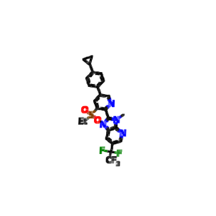 CCS(=O)(=O)c1cc(-c2ccc(C3CC3)cc2)cnc1-c1nc2cc(C(F)(F)C(F)(F)F)cnc2n1C